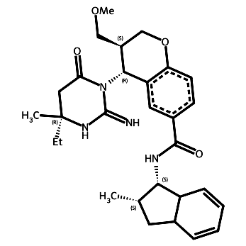 CC[C@]1(C)CC(=O)N([C@H]2c3cc(C(=O)N[C@@H]4C5C=CC=CC5C[C@@H]4C)ccc3OC[C@@H]2COC)C(=N)N1